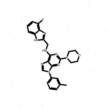 Cc1cccc(-n2cnc3c(NCc4nc5c(F)cccc5[nH]4)nc(N4CCOCC4)nc32)c1